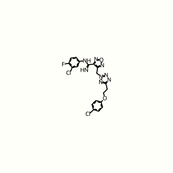 N=C(Nc1ccc(F)c(Cl)c1)c1nonc1Cn1nnc(CCOc2ccc(Cl)cc2)n1